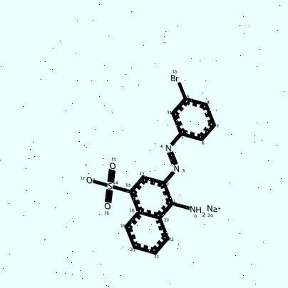 Nc1c(N=Nc2cccc(Br)c2)cc(S(=O)(=O)[O-])c2ccccc12.[Na+]